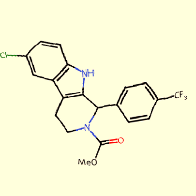 COC(=O)N1CCc2c([nH]c3ccc(Cl)cc23)C1c1ccc(C(F)(F)F)cc1